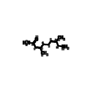 CC(=CCC/C(C)=C\C(N)=O)CN